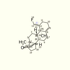 C[C@]12CC[C@H]3[C@@H](CCC4=CCC/C(=C\F)[C@@]43C)[C@@H]1CCC2=O